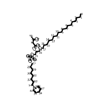 CCCCCCCCCCCCCCCCCCOCC(COP(=O)([O-])OCCCCCCCC[n+]1ccccc1)OC(=O)CC(C)=O